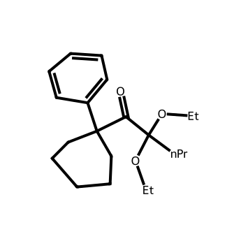 CCCC(OCC)(OCC)C(=O)C1(c2ccccc2)CCCCC1